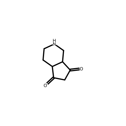 O=C1CC(=O)C2CNCCC12